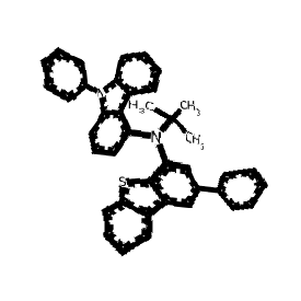 CC(C)(C)N(c1cc(-c2ccccc2)cc2c1sc1ccccc12)c1cccc2c1c1ccccc1n2-c1ccccc1